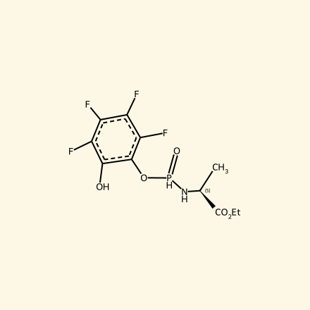 CCOC(=O)[C@H](C)N[PH](=O)Oc1c(O)c(F)c(F)c(F)c1F